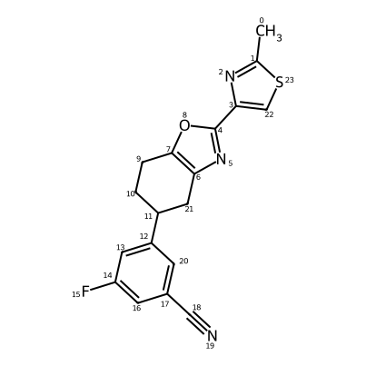 Cc1nc(-c2nc3c(o2)CCC(c2cc(F)cc(C#N)c2)C3)cs1